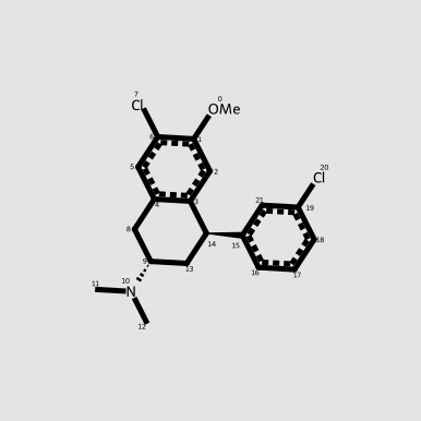 COc1cc2c(cc1Cl)C[C@@H](N(C)C)C[C@@H]2c1cccc(Cl)c1